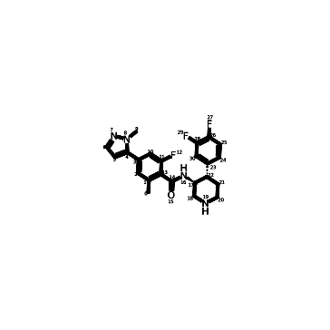 Cc1cc(-c2ccnn2C)cc(F)c1C(=O)N[C@@H]1CNCC[C@H]1c1ccc(F)c(F)c1